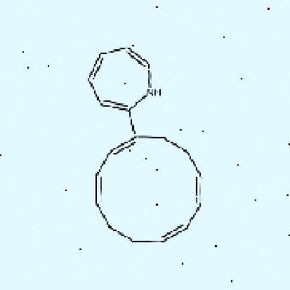 C1=CC=C(C2=CC=CCCC=CC=CCC2)NC=C1